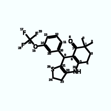 CC1(C)CCC2=C(C1=O)C(c1cccc(OC(F)(F)F)c1)C1=C(CCS1)N2